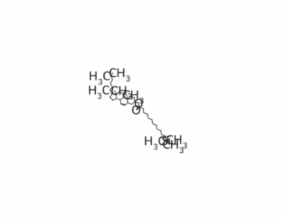 CC(C)CCCC(C)C1CCC2C3C=CC4CC(OC(=O)CCCCCCCCCCC[Si](C)(C)C)CCC4(C)C3CCC12C